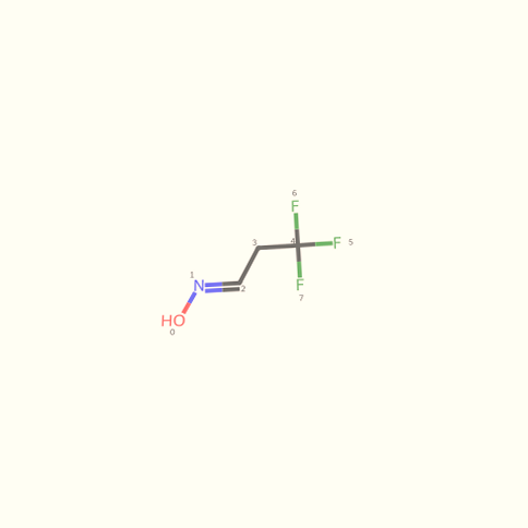 O/N=C/CC(F)(F)F